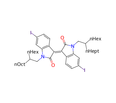 CCCCCCCCC(CCCCCC)CN1C(=O)/C(=C2/C(=O)N(CC(CCCCCC)CCCCCCC)c3cc(I)ccc32)c2ccc(I)cc21